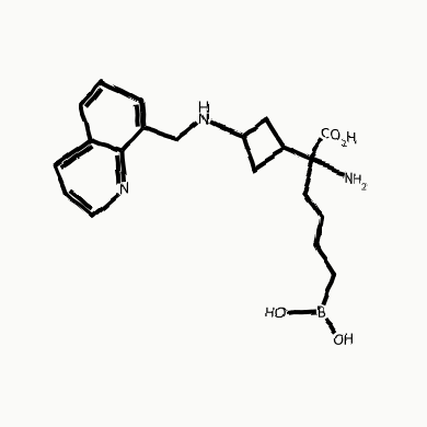 NC(CCCCB(O)O)(C(=O)O)C1CC(NCc2cccc3cccnc23)C1